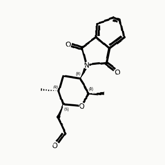 C[C@@H]1C[C@@H](N2C(=O)c3ccccc3C2=O)[C@@H](C)O[C@H]1CC=O